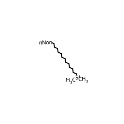 CCCCCCCCCCCCCCCCCCCCCC[S+](C)C